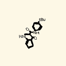 [CH2]C(C)(C)c1ccc(NC(=O)c2c[nH]c3ccccc3c2=O)cc1